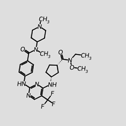 CCN(OC)C(=O)[C@H]1CC[C@@H](Nc2nc(Nc3ccc(C(=O)N(C)C4CCN(C)CC4)cc3)ncc2C(F)(F)F)C1